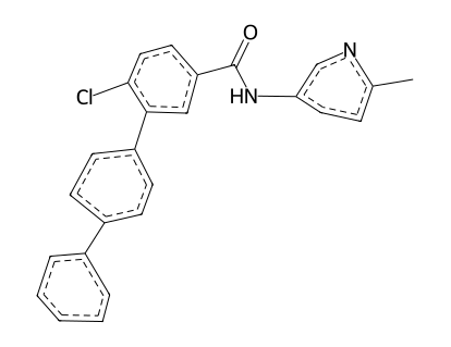 Cc1ccc(NC(=O)c2ccc(Cl)c(-c3ccc(-c4ccccc4)cc3)c2)cn1